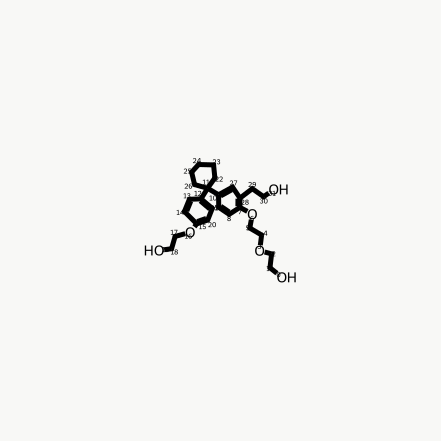 OCCOCCOc1ccc(C2(c3ccc(OCCO)cc3)CCCCC2)cc1CCO